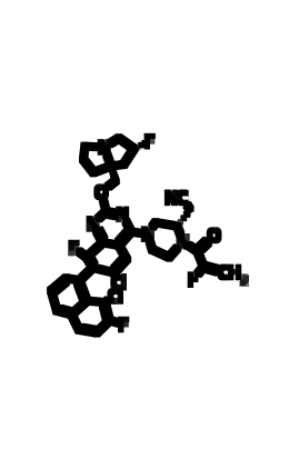 C=C(F)C(=O)N1CCN(c2nc(OC[C@@]34CCCN3C[C@H](F)C4)nc3c(F)c(-c4cccc5ccc(F)c(Cl)c45)c(Cl)cc23)C[C@@H]1CC#N